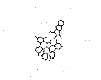 Cc1ccc(-c2cc(C)cc(C)c2N2C(=CC=C3C(=O)c4cc5ccccc5cc4C3=O)N(c3c(C)cc(C)cc3-c3ccc(C)cc3)c3nc4ccccc4nc32)cc1